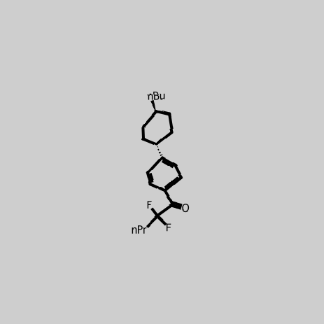 CCCC[C@H]1CC[C@H](c2ccc(C(=O)C(F)(F)CCC)cc2)CC1